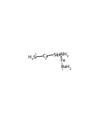 [AlH3].[BaH2].[Fe].[SiH3][Ca][SiH3]